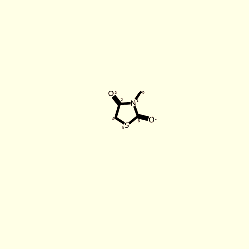 [CH2]N1C(=O)CSC1=O